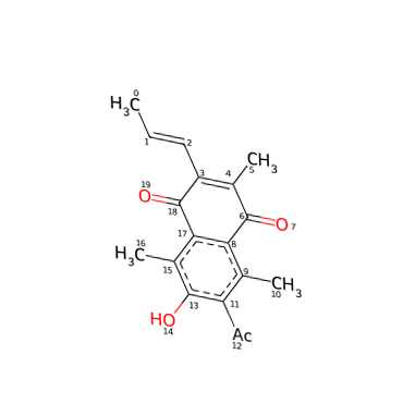 C/C=C/C1=C(C)C(=O)c2c(C)c(C(C)=O)c(O)c(C)c2C1=O